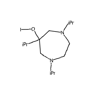 CC(C)N1CCN(C(C)C)CC(OI)(C(C)C)C1